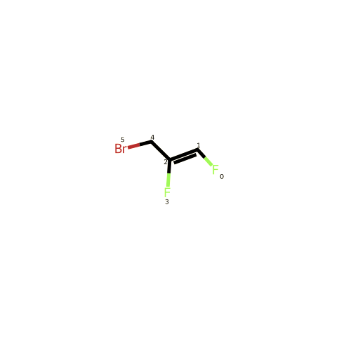 FC=C(F)CBr